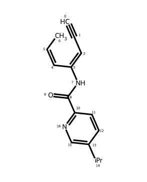 C#C/C=C(\C=C/C)NC(=O)c1ccc(C(C)C)cn1